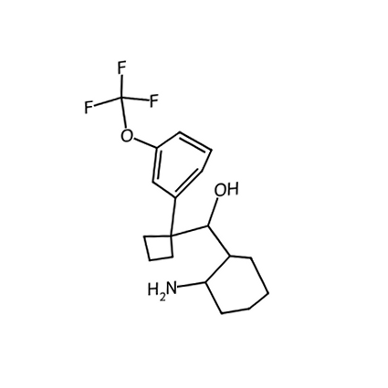 NC1CCCCC1C(O)C1(c2cccc(OC(F)(F)F)c2)CCC1